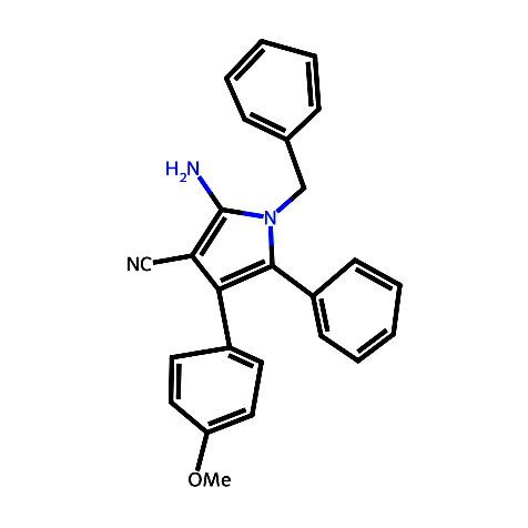 COc1ccc(-c2c(C#N)c(N)n(Cc3ccccc3)c2-c2ccccc2)cc1